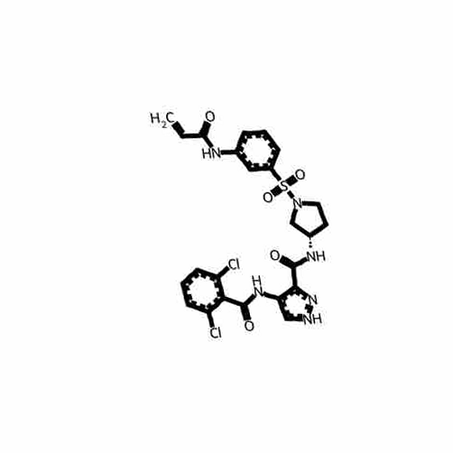 C=CC(=O)Nc1cccc(S(=O)(=O)N2CC[C@H](NC(=O)c3n[nH]cc3NC(=O)c3c(Cl)cccc3Cl)C2)c1